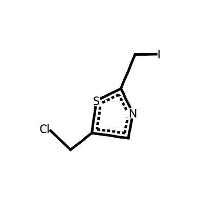 ClCc1cnc(CI)s1